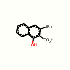 CC(C)(C)c1cc2ccccc2c(O)c1C(=O)O